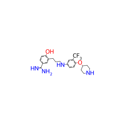 N=C(N)c1ccc(O)c(CCCNc2ccc(OC3CCNCC3)c(C(F)(F)F)c2)c1